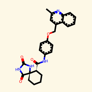 Cc1cc(COc2ccc(NC(=O)[C@@H]3CCCC[C@@]34NC(=O)NC4=O)cc2)c2ccccc2n1